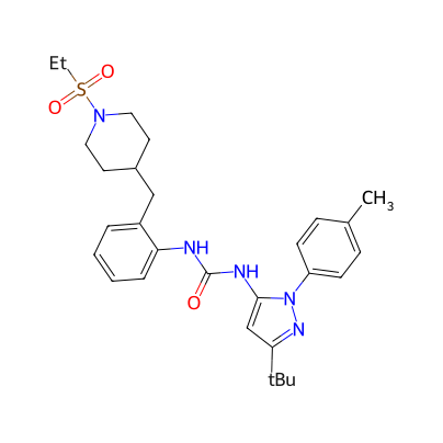 CCS(=O)(=O)N1CCC(Cc2ccccc2NC(=O)Nc2cc(C(C)(C)C)nn2-c2ccc(C)cc2)CC1